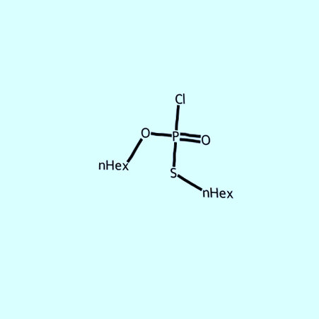 CCCCCCOP(=O)(Cl)SCCCCCC